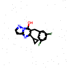 Oc1c(Cc2cc(F)cc(F)c2)c(C2CC2)nc2ccnn12